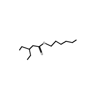 CCCCCCOC(=O)C[C](CC)CC